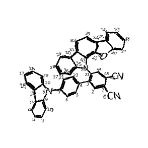 N#Cc1cc(-c2ccc(-n3c4ccccc4c4ccccc43)cc2)c(-n2c3ccccc3c3ccc4c5ccccc5oc4c32)cc1C#N